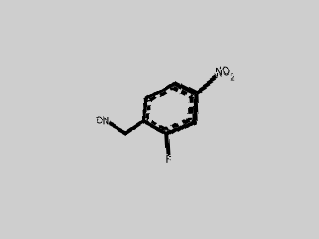 O=NCc1ccc([N+](=O)[O-])cc1F